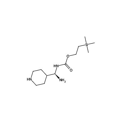 C[Si](C)(C)CCOC(=O)N[C@@H](N)C1CCNCC1